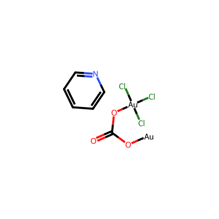 O=C([O][Au])[O][Au]([Cl])([Cl])[Cl].c1ccncc1